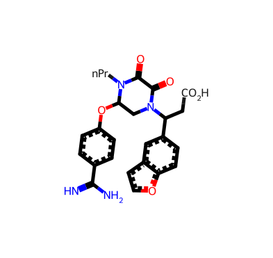 CCCN1C(=O)C(=O)N(C(CC(=O)O)c2ccc3occc3c2)CC1Oc1ccc(C(=N)N)cc1